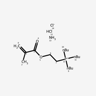 C=C(C)C(=O)OCC[P+](CCCC)(CCCC)CCCC.Cl.N.[Cl-]